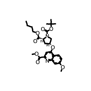 CCCCOC(=O)[C@@H]1C[C@@H](Oc2cc(C(=O)OC)nc3cc(OC)ccc23)CN1C(=O)OC(C)(C)C